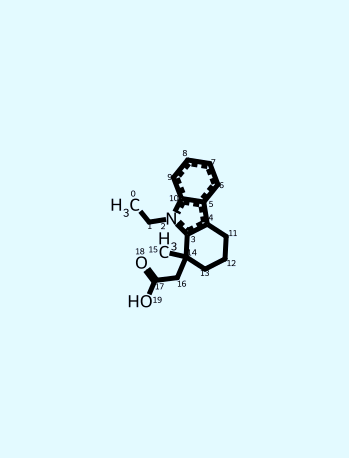 CCn1c2c(c3ccccc31)CCCC2(C)CC(=O)O